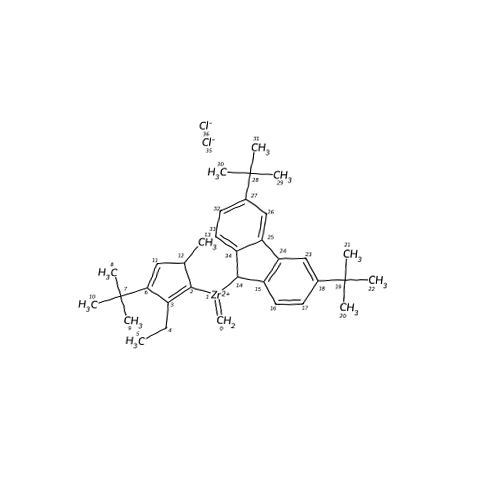 [CH2]=[Zr+2]([C]1=C(CC)C(C(C)(C)C)=CC1C)[CH]1c2ccc(C(C)(C)C)cc2-c2cc(C(C)(C)C)ccc21.[Cl-].[Cl-]